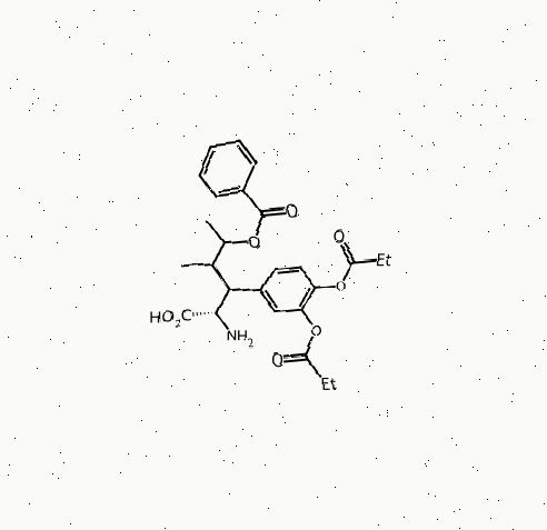 CCC(=O)Oc1ccc(C(C(C)C(C)OC(=O)c2ccccc2)[C@H](N)C(=O)O)cc1OC(=O)CC